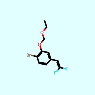 CCOCOc1cc(C=C(F)F)ccc1Br